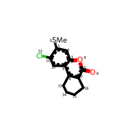 CSc1cc2oc(=O)c3c(c2cc1Cl)CCCC3